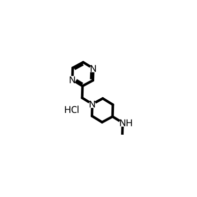 CNC1CCN(Cc2cnccn2)CC1.Cl